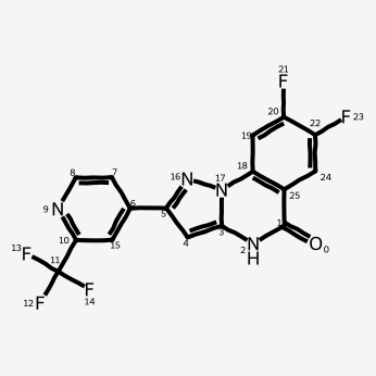 O=c1[nH]c2cc(-c3ccnc(C(F)(F)F)c3)nn2c2cc(F)c(F)cc12